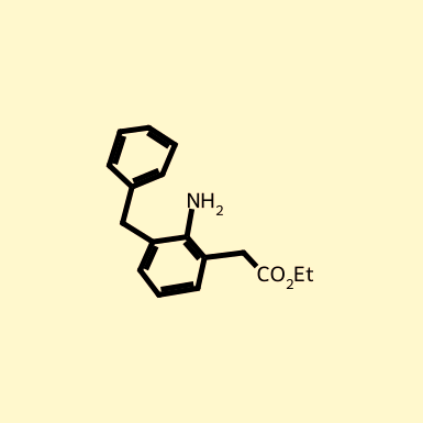 CCOC(=O)Cc1cccc(Cc2ccccc2)c1N